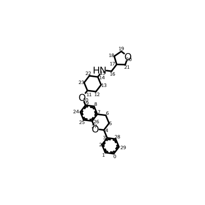 c1ccc(C2CCc3cc(OC4CCC(NCC5CCOC5)CC4)ccc3O2)cc1